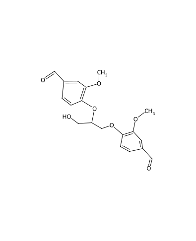 COc1cc(C=O)ccc1OCC(CO)Oc1ccc(C=O)cc1OC